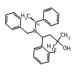 C[C@@H](c1ccccc1)N(Cc1ccccc1)C(CC(C)(C)O)c1ccccc1F